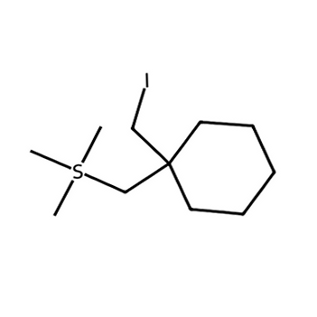 CS(C)(C)CC1(CI)CCCCC1